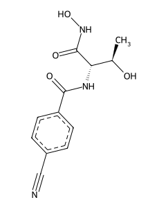 C[C@@H](O)[C@H](NC(=O)c1ccc(C#N)cc1)C(=O)NO